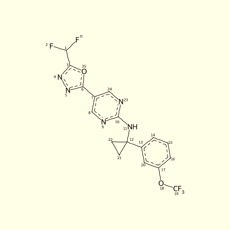 FC(F)c1nnc(-c2cnc(NC3(c4cccc(OC(F)(F)F)c4)CC3)nc2)o1